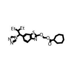 CCC(CC)C(c1ccc2nc(OCOC(=O)C3CCCCCC3)sc2c1)n1cnnc1